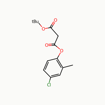 Cc1cc(Cl)ccc1OC(=O)CC(=O)OC(C)(C)C